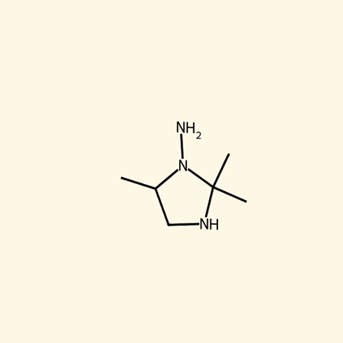 CC1CNC(C)(C)N1N